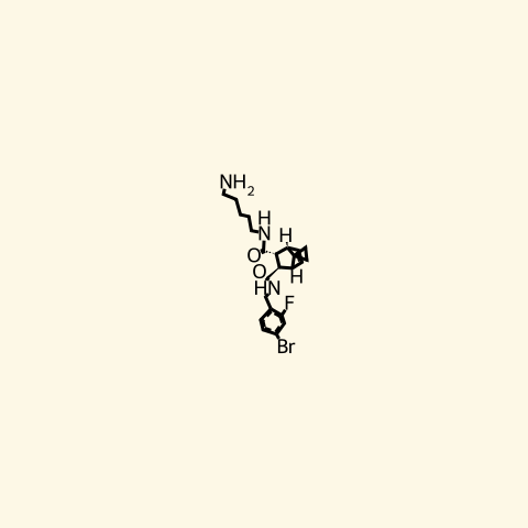 NCCCCCNC(=O)[C@H]1[C@H](C(=O)NCc2ccc(Br)cc2F)[C@@H]2C=C[C@H]1C21CC1